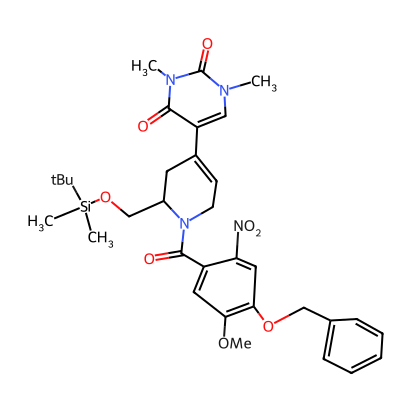 COc1cc(C(=O)N2CC=C(c3cn(C)c(=O)n(C)c3=O)CC2CO[Si](C)(C)C(C)(C)C)c([N+](=O)[O-])cc1OCc1ccccc1